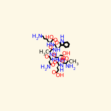 C[C@H](NC(=O)[C@H](CC(N)=O)NC(=O)[C@H](CC(=O)O)NC(=O)[C@H](CCC(=O)O)NC(=O)[C@@H](N)[C@@H](C)O)C(=O)N[C@@H](Cc1c[nH]c2ccccc12)C(=O)N[C@@H](CCCCN)C(=O)O